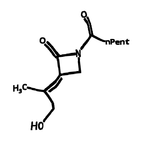 CCCCCC(=O)N1C/C(=C(/C)CO)C1=O